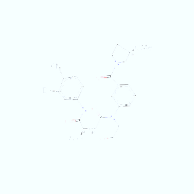 [C-]#[N+]c1ccc(NC(=O)[C@H](OC(C)=O)[C@H]2OCCN(c3cccc(C(=O)N4CC[C@@H](OC)C4)c3)C2=O)cc1CC